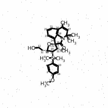 COc1ccc([Si](C)(C)[C@H]2[C@H](CCO)O[C@@]3(C(=O)N4c5c(cccc53)C(C)=CC4(C)C)[C@@H]2C)cc1